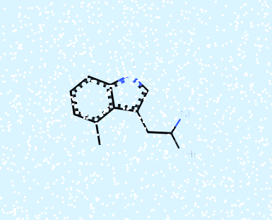 Cc1cccc2[nH]cc(CC(N)C=O)c12